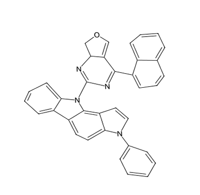 C1=C2C(c3cccc4ccccc34)=NC(n3c4ccccc4c4ccc5c(ccn5-c5ccccc5)c43)=NC2CO1